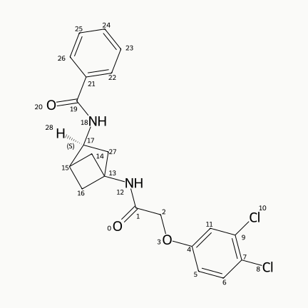 O=C(COc1ccc(Cl)c(Cl)c1)NC12CC(C1)[C@@H](NC(=O)c1ccccc1)C2